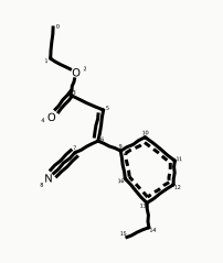 CCOC(=O)C=C(C#N)c1cccc(CC)c1